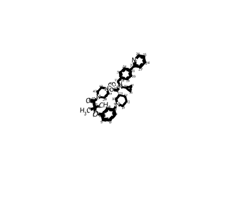 CC(C)(Oc1cccc(N2CCC[C@@H](C(=O)N(Cc3ccc(-c4ccccn4)cc3)C3CC3)C2)c1)C(=O)N1CCN(C(=O)O)CC1